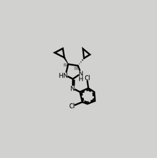 Clc1cccc(Cl)c1N=C1N[C@@H](C2CC2)[C@H](C2CC2)N1